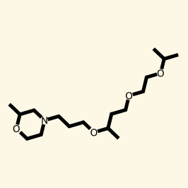 CC(C)OCCOCCC(C)OCCCN1CCOC(C)C1